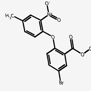 COC(=O)c1cc(Br)ccc1Oc1ccc(C)cc1[N+](=O)[O-]